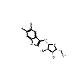 OC[C@H]1O[C@@H](Oc2c[nH]c3cc(Cl)c(Br)cc23)[C@H](O)[C@H]1O